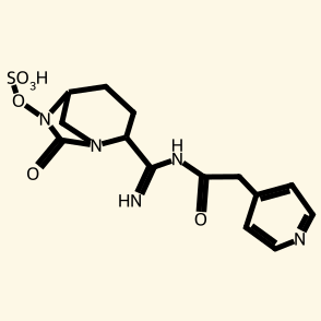 N=C(NC(=O)Cc1ccncc1)C1CCC2CN1C(=O)N2OS(=O)(=O)O